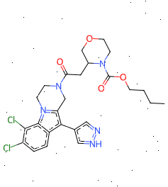 CCCCOC(=O)N1CCOCC1CC(=O)N1CCn2c(c(-c3cn[nH]c3)c3ccc(Cl)c(Cl)c32)C1